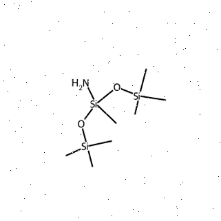 C[Si](C)(C)O[Si](C)(N)O[Si](C)(C)C